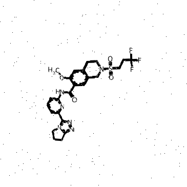 COc1cc2c(cc1C(=O)Nc1cccc(-c3nnc4n3CCC4)n1)CN(S(=O)(=O)CCC(F)(F)F)CC2